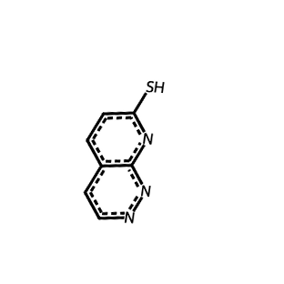 Sc1ccc2ccnnc2n1